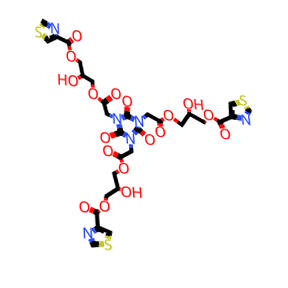 O=C(Cn1c(=O)n(CC(=O)OCC(O)COC(=O)c2cscn2)c(=O)n(CC(=O)OCC(O)COC(=O)c2cscn2)c1=O)OCC(O)COC(=O)c1cscn1